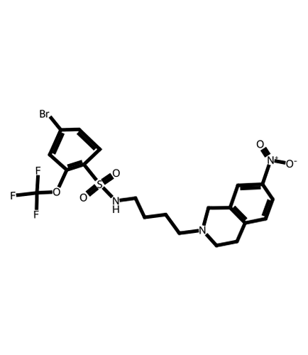 O=[N+]([O-])c1ccc2c(c1)CN(CCCCNS(=O)(=O)c1ccc(Br)cc1OC(F)(F)F)CC2